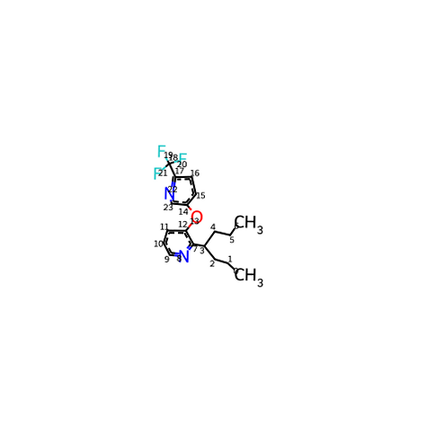 CCCC(CCC)c1ncccc1Oc1ccc(C(F)(F)F)nc1